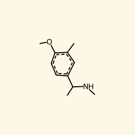 CNC(C)c1ccc(OC)c(C)c1